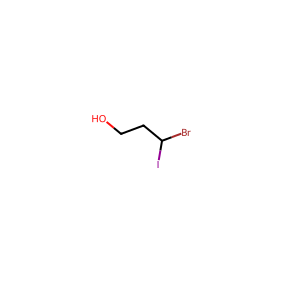 OCCC(Br)I